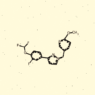 COc1ccc(Cn2ccc(-c3ccc(OC(F)F)c(F)c3)n2)cn1